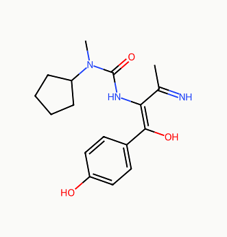 CC(=N)/C(NC(=O)N(C)C1CCCC1)=C(\O)c1ccc(O)cc1